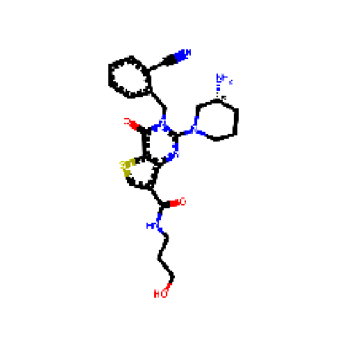 N#Cc1ccccc1Cn1c(N2CCC[C@@H](N)C2)nc2c(C(=O)NCCCO)csc2c1=O